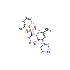 Cc1cc(N2CCNCC2)c2c(c1)N(S(=O)(=O)c1ccccc1C#N)CCO2